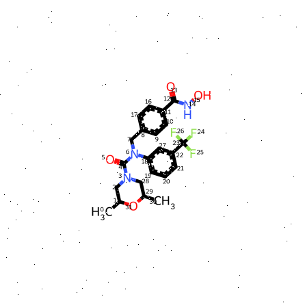 CC1CN(C(=O)N(Cc2ccc(C(=O)NO)cc2)c2cccc(C(F)(F)F)c2)CC(C)O1